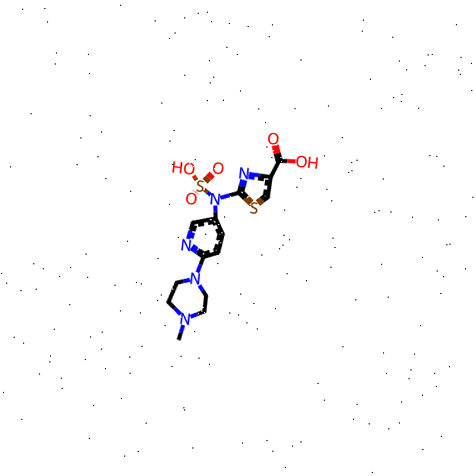 CN1CCN(c2ccc(N(c3nc(C(=O)O)cs3)S(=O)(=O)O)cn2)CC1